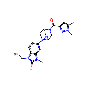 Cc1cc(C(=O)N2CC3CCC2CN3c2ccc3c(n2)n(C)c(=O)n3CC(C)(C)C)nn1C